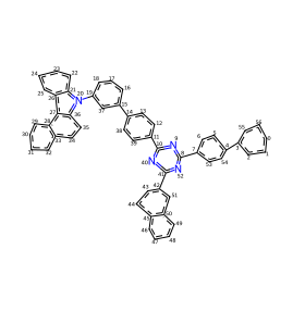 c1ccc(-c2ccc(-c3nc(-c4ccc(-c5cccc(-n6c7ccccc7c7c8ccccc8ccc76)c5)cc4)nc(-c4ccc5ccccc5c4)n3)cc2)cc1